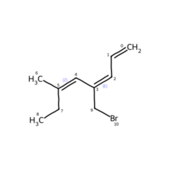 C=C/C=C(\C=C(\C)CC)CBr